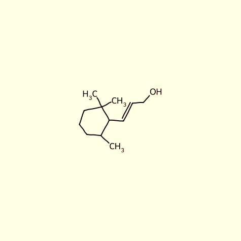 CC1CCCC(C)(C)C1C=CCO